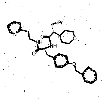 CC(C)C[C@@H](C(=O)N[C@@H](Cc1ccc(OCc2ccccc2)cc1)C(=O)NCCc1ccccn1)N1CCOCC1